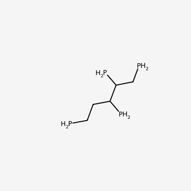 PCCC(P)C(P)CP